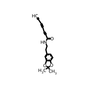 C#CC#CC#CC(=O)NCCc1ccc2c(c1)OC(C)(C)O2